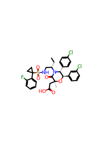 CC[C@@H](CNS(=O)(=O)C1(c2ccccc2F)CC1)N1C(=O)[C@](C)(CC(=O)O)O[C@H](c2cccc(Cl)c2)[C@H]1c1ccc(Cl)cc1